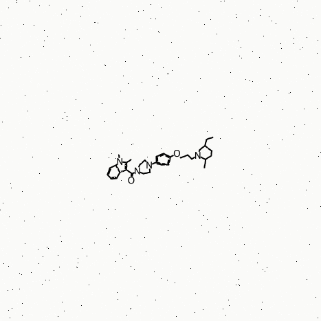 CCC1CCC(C)N(CCCOc2ccc(N3CCN(C(=O)C4=C(C)N(C)C5C=CC=CC45)CC3)cc2)C1